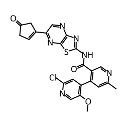 COc1cnc(Cl)cc1-c1cc(C)ncc1C(=O)Nc1nc2ncc(C3=CCC(=O)C3)nc2s1